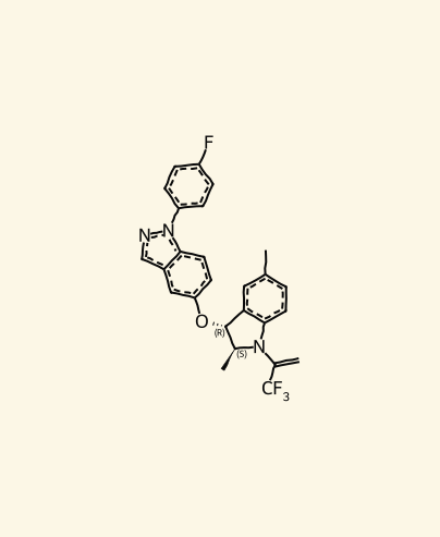 C=C(N1c2ccc(C)cc2[C@@H](Oc2ccc3c(cnn3-c3ccc(F)cc3)c2)[C@@H]1C)C(F)(F)F